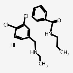 CCCNC(=O)c1ccccc1.CCNCc1ccc(Cl)c(Cl)c1.I